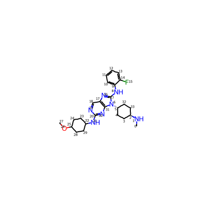 CN[C@H]1CC[C@H](n2c(Nc3ccccc3F)nc3cnc(NC4CCC(OC)CC4)nc32)CC1